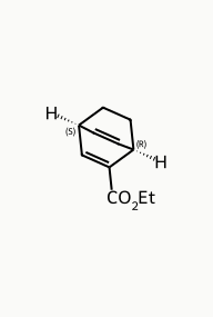 CCOC(=O)C1=C[C@@H]2C=C[C@H]1CC2